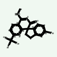 CNC1=NC(=O)C2(CCc3cc(F)ccc32)c2nc(C(F)(F)F)ccc21